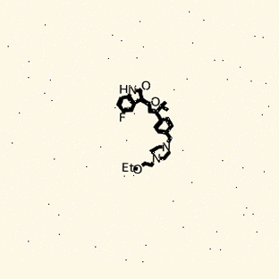 CCOCCN1CCN(Cc2ccc(C3=CC(=C4C(=O)Nc5ccc(F)cc54)OC3(C)C)cc2)CC1